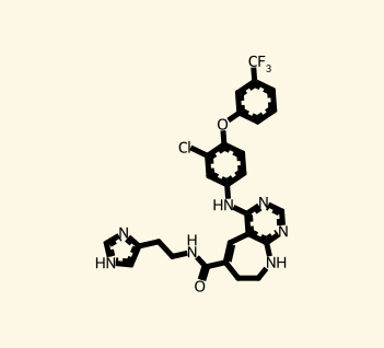 O=C(NCCc1c[nH]cn1)C1=Cc2c(ncnc2Nc2ccc(Oc3cccc(C(F)(F)F)c3)c(Cl)c2)NCC1